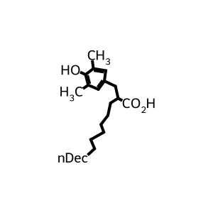 CCCCCCCCCCCCCCCCC(Cc1cc(C)c(O)c(C)c1)C(=O)O